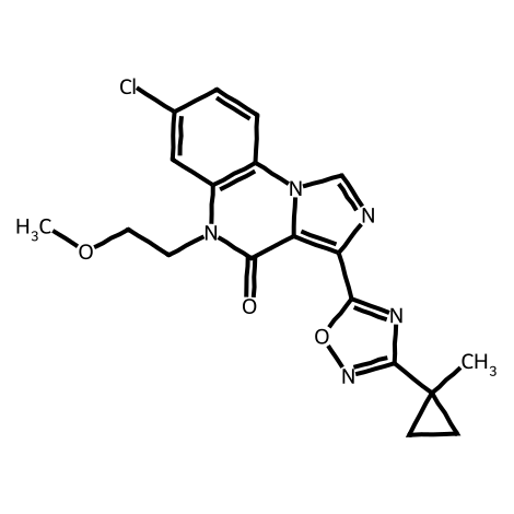 COCCn1c(=O)c2c(-c3nc(C4(C)CC4)no3)ncn2c2ccc(Cl)cc21